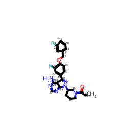 C=CC(=O)N1CCCC(n2nc(-c3ccc(OCc4cccc(F)c4)c(F)c3)c3c(N)ncnc32)C1